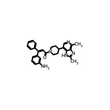 Cc1nc2c(C)ncc(C3CCN(C(=O)C=C(c4ccccc4)c4cccc(N)c4)CC3)c2[nH]1